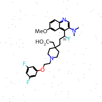 COc1ccc2ncc(N(C)C)c([C@@H](F)CCC3(CC(=O)O)CCN(CCOc4cc(F)cc(F)c4)CC3)c2c1